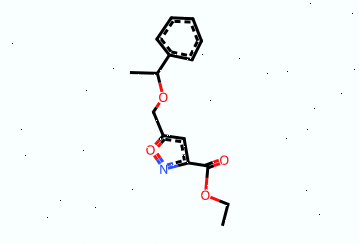 CCOC(=O)c1cc(COC(C)c2ccccc2)on1